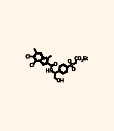 CCOC(=O)CS(=O)(=O)c1ccc(C(CO)NC(=O)c2cc3c(Cl)c(Cl)c(C)cc3n2C)cc1